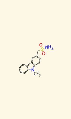 NS(=O)(=O)Cc1ccc2c(c1)c1ccccc1n2C(F)(F)F